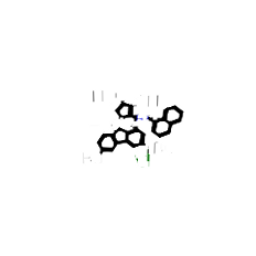 CC1=CC(C)[C](/[Zr+2](=[CH]/c2cccc3ccccc23)[c]2cc(C(C)(C)C)cc3c2Cc2ccc(C(C)(C)C)cc2-3)=C1C.[Cl-].[Cl-]